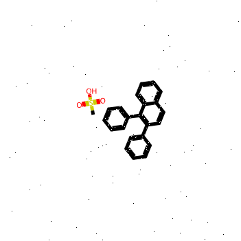 CS(=O)(=O)O.c1ccc(-c2ccc3ccccc3c2-c2ccccc2)cc1